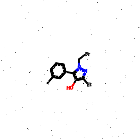 CCc1nn(CC(C)C)c(-c2cccc(C)c2)c1O